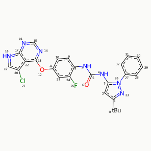 CC(C)(C)c1cc(NC(=O)Nc2ccc(Oc3ncnc4[nH]cc(Cl)c34)cc2F)n(-c2ccccc2)n1